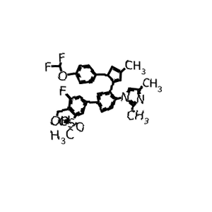 CC1=CC(c2ccc(OC(F)F)cc2)C(c2cc(-c3cc(F)c(CO)c(S(C)(=O)=O)c3)ccc2-n2cc(C)nc2C)=C1